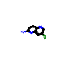 Nc1ccc2ncc(Cl)cc2n1